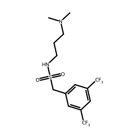 CN(C)CCCNS(=O)(=O)Cc1cc(C(F)(F)F)cc(C(F)(F)F)c1